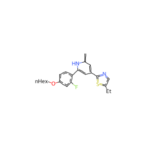 C=C1C=C(c2ncc(CC)s2)C=C(c2ccc(OCCCCCC)cc2F)N1